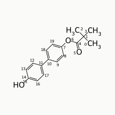 CC(C)(C)C(=O)Oc1ccc(-c2ccc(O)cc2)cc1